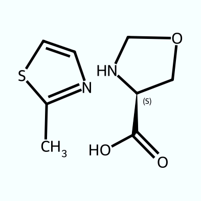 Cc1nccs1.O=C(O)[C@@H]1COCN1